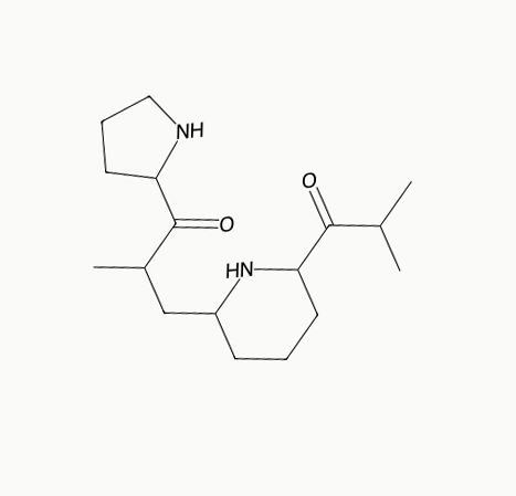 CC(C)C(=O)C1CCCC(CC(C)C(=O)C2CCCN2)N1